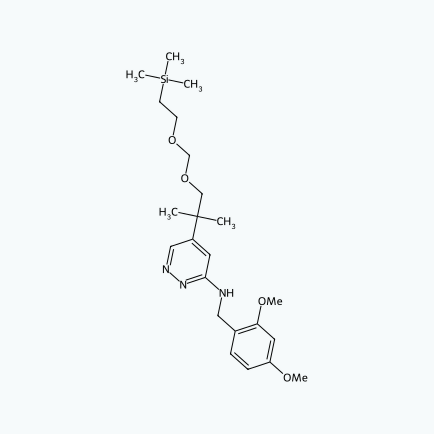 COc1ccc(CNc2cc(C(C)(C)COCOCC[Si](C)(C)C)cnn2)c(OC)c1